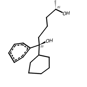 C[C@H](O)CCC[C@@](O)(c1ccccc1)C1CCCCC1